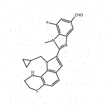 Cn1c(-c2cc3ccc4c(c3n2CC2CC2)NCCS4)nc2cc(C=O)cc(F)c21